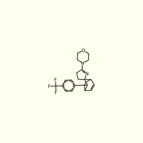 FC(F)(F)c1ccc(C2C3C=CC(CC3)C23CCC(N2CCOCC2)=N3)cc1